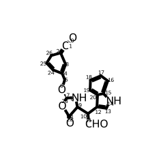 O=C=C1C=C(CO[C@@H]2NC(C(C=O)c3c[nH]c4ccccc34)C(=O)O2)C=CC1